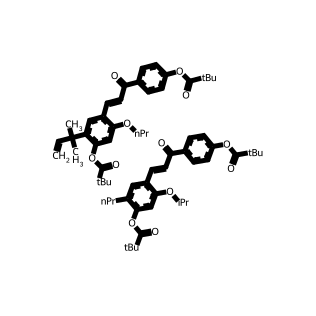 C=CC(C)(C)c1cc(C=CC(=O)c2ccc(OC(=O)C(C)(C)C)cc2)c(OCCC)cc1OC(=O)C(C)(C)C.CCCc1cc(C=CC(=O)c2ccc(OC(=O)C(C)(C)C)cc2)c(OC(C)C)cc1OC(=O)C(C)(C)C